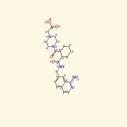 Nc1nccc2ccc(CNC(=O)C3CCCCC3C(=O)N3CCN(CC(=O)O)CC3)cc12